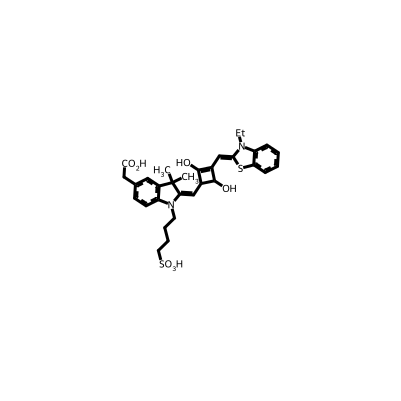 CCN1/C(=C/C2=C(O)C(/C=C3/N(CCCCS(=O)(=O)O)c4ccc(CC(=O)O)cc4C3(C)C)C2O)Sc2ccccc21